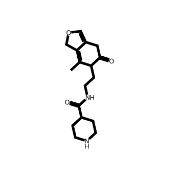 CC1=C2COC=C2CC(=O)C1CCNC(=O)C1CCNCC1